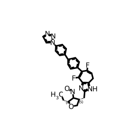 CC[C@H]1OC[C@@H](Cc2nc3c([nH]2)CC=C(F)C(c2ccc(-c4ccc(-n5ccnn5)cc4)cc2)=C3F)C1N=O